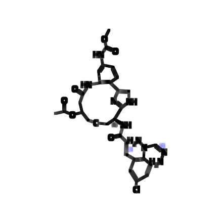 COC(=O)Nc1ccc2c(c1)NC(=O)CC(OC(C)=O)CCC[C@H](NC(=O)/C=C/c1cc(Cl)ccc1N(N)/C=N\N)c1nc-2c[nH]1